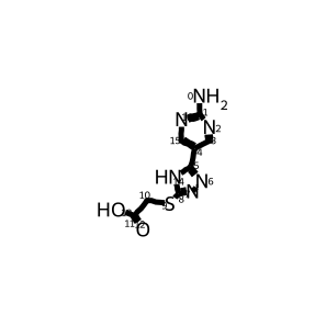 Nc1ncc(-c2nnc(SCC(=O)O)[nH]2)cn1